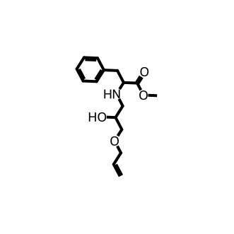 C=CCOCC(O)CNC(Cc1ccccc1)C(=O)OC